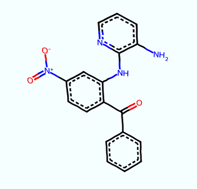 Nc1cccnc1Nc1cc([N+](=O)[O-])ccc1C(=O)c1ccccc1